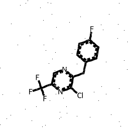 Fc1ccc(Cc2ncc(C(F)(F)F)nc2Cl)cc1